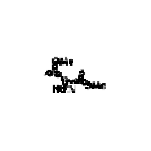 COc1ccc(N(c2ccc(C)cc2)c2ccc(/C=C/C3=CC(=C(C#N)C#N)C=C(/C=C/c4ccc(N(c5ccc(C)cc5)c5ccc(OC)cc5)cc4)O3)cc2)cc1